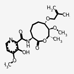 C=C(C)CO[C@H]1CCC[C@H](NC(=O)c2nccc(OC)c2O)C(=O)O[C@@H](C)[C@@H]1OC